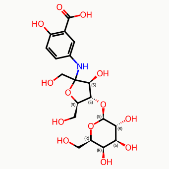 O=C(O)c1cc(NC2(CO)O[C@H](CO)[C@@H](O[C@@H]3O[C@H](CO)[C@H](O)[C@H](O)[C@H]3O)[C@@H]2O)ccc1O